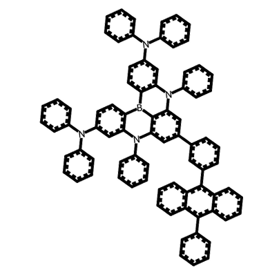 c1ccc(-c2c3ccccc3c(-c3cccc(-c4cc5c6c(c4)N(c4ccccc4)c4cc(N(c7ccccc7)c7ccccc7)ccc4B6c4ccc(N(c6ccccc6)c6ccccc6)cc4N5c4ccccc4)c3)c3ccccc23)cc1